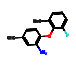 COc1cccc(F)c1Oc1ccc(C=O)cc1N